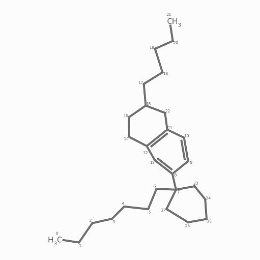 CCCCCCCC1(c2ccc3c(c2)CCC(CCCCC)C3)CCCCC1